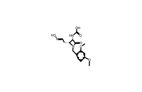 COc1ccc(CN2C(=O)[C@@H](NC(=O)O)[C@H]2C/C=N/O)c(OC)c1